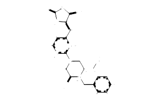 O=C1NC(=O)/C(=C/c2ccnc(N3CC(=O)N(Cc4ccccc4)[C@@H](CO)C3)n2)S1